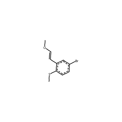 CO/C=C/c1cc(Br)ccc1SC